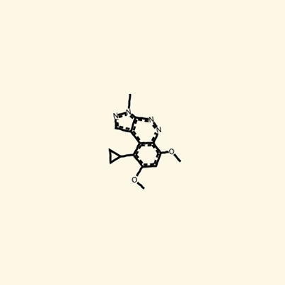 COc1cc(OC)c2nnc3c(cnn3C)c2c1C1CC1